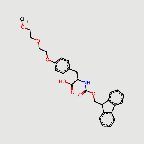 COCCOCCOc1ccc(C[C@@H](NC(=O)OCC2c3ccccc3-c3ccccc32)C(=O)O)cc1